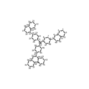 c1ccc2cc(-c3ccc(N(c4ccc(-c5cccc6ccccc56)cc4)c4ccc(-c5cc6ccccc6c6ccccc56)cc4)cc3)ccc2c1